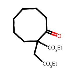 CCOC(=O)CC1(C(=O)OCC)CCCCCCC1=O